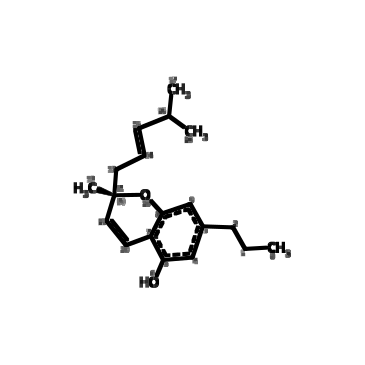 CCCc1cc(O)c2c(c1)O[C@@](C)(CC=CC(C)C)C=C2